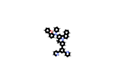 CC1(C)c2cc(-c3cc(-c4ccccn4)cc(-c4ccccn4)c3)ccc2-n2c3ccc4ccccc4c3c3cc(N(c4ccccc4)c4cccc5c4oc4ccccc45)cc1c32